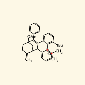 C=C1CCC2(OC)CC1C(c1ccccc1)C(c1cccc(C(C)(C)C)c1O[SiH](C)C)=C2c1ccccc1